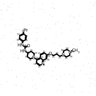 CC(C)c1ccc(NC(=O)NC2CCN(c3ccnc4cc(OCCCN5CCN(C)CC5)ccc34)CC2)cc1